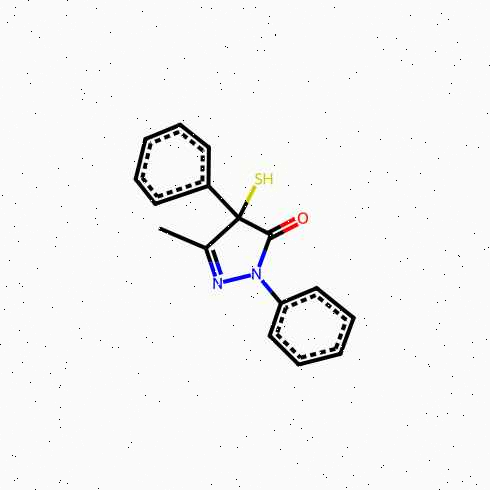 CC1=NN(c2ccccc2)C(=O)C1(S)c1ccccc1